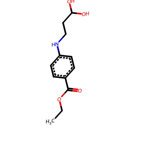 CCOC(=O)c1ccc(NCCC(O)O)cc1